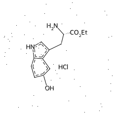 CCOC(=O)[C@@H](N)Cc1c[nH]c2ccc(O)cc12.Cl